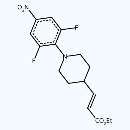 CCOC(=O)/C=C/C1CCN(c2c(F)cc([N+](=O)[O-])cc2F)CC1